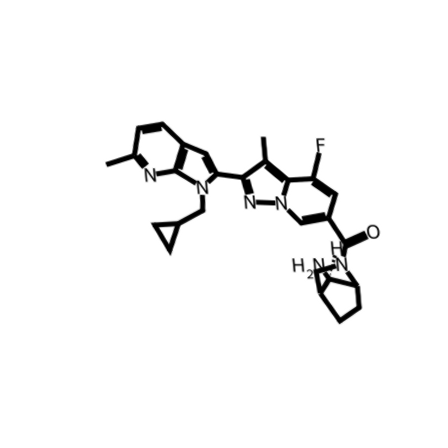 Cc1ccc2cc(-c3nn4cc(C(=O)N5CC6CCC5[C@@H]6N)cc(F)c4c3C)n(CC3CC3)c2n1